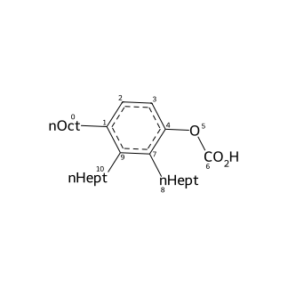 CCCCCCCCc1ccc(OC(=O)O)c(CCCCCCC)c1CCCCCCC